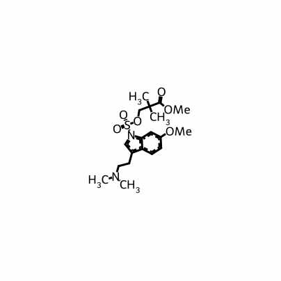 COC(=O)C(C)(C)COS(=O)(=O)n1cc(CCN(C)C)c2ccc(OC)cc21